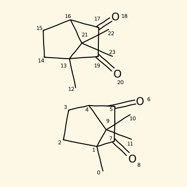 CC12CCC(C(=O)C1=O)C2(C)C.CC12CCC(C(=O)C1=O)C2(C)C